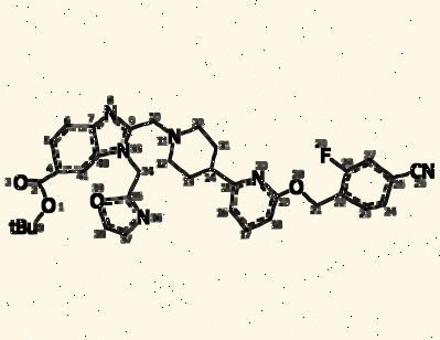 CC(C)(C)OC(=O)c1ccc2nc(CN3CCC(c4cccc(OCc5ccc(C#N)cc5F)n4)CC3)n(Cc3ncco3)c2c1